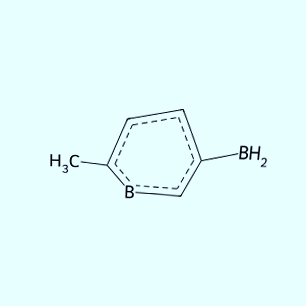 Bc1cbc(C)cc1